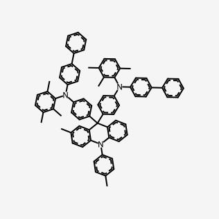 Cc1ccc(N2c3ccccc3C(c3ccc(N(c4ccc(-c5ccccc5)cc4)c4c(C)ccc(C)c4C)cc3)(c3ccc(N(c4ccc(-c5ccccc5)cc4)c4c(C)ccc(C)c4C)cc3)c3cc(C)ccc32)cc1